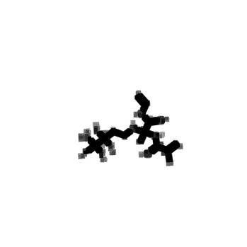 C=COC(=O)C(C)(OCCC(F)(F)C(F)(F)S)OC(=O)C(=C)C